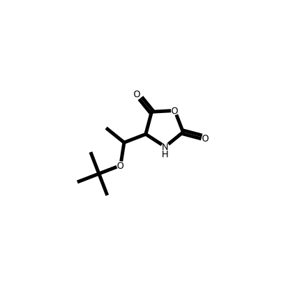 CC(OC(C)(C)C)C1NC(=O)OC1=O